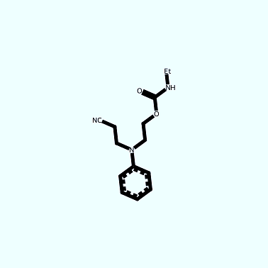 CCNC(=O)OCCN(CCC#N)c1ccccc1